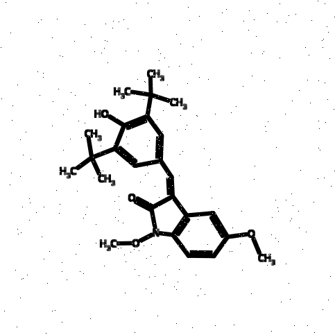 COc1ccc2c(c1)C(=Cc1cc(C(C)(C)C)c(O)c(C(C)(C)C)c1)C(=O)N2OC